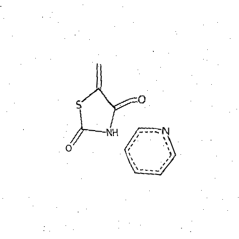 C=C1SC(=O)NC1=O.c1ccncc1